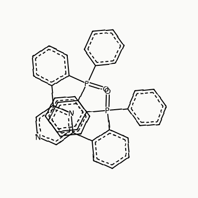 O=P(c1ccccc1)(c1ccccc1)c1ccccc1-c1cncc(-c2ccccc2P(=O)(c2ccccc2)c2ccccc2)n1